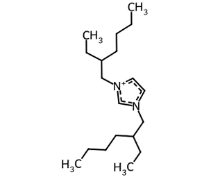 CCCCC(CC)Cn1cc[n+](CC(CC)CCCC)c1